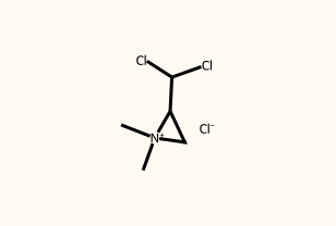 C[N+]1(C)CC1C(Cl)Cl.[Cl-]